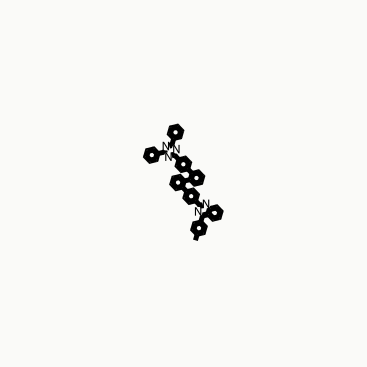 Cc1ccc(-c2nc(-c3ccc(-c4ccccc4-c4ccccc4-c4ccc(-c5nc(-c6ccccc6)nc(-c6ccccc6)n5)cc4)cc3)nc3ccccc23)cc1